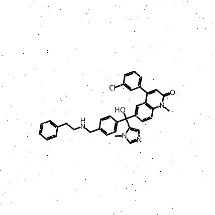 Cn1cncc1C(O)(c1ccc(CNCCc2ccccc2)cc1)c1ccc2c(c1)c(-c1cccc(Cl)c1)cc(=O)n2C